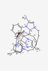 CC1=CN2CCC3CCN4C=C(C)N5c6ccccc6C67C8C2N1c1ccccc1/C(=C/Cc1ccccc1N1C(C)=CN6C81)C7(CC3)C45